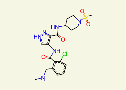 CN(C)Cc1cccc(Cl)c1C(=O)Nc1c[nH]nc1C(=O)NC1CCN(S(C)(=O)=O)CC1